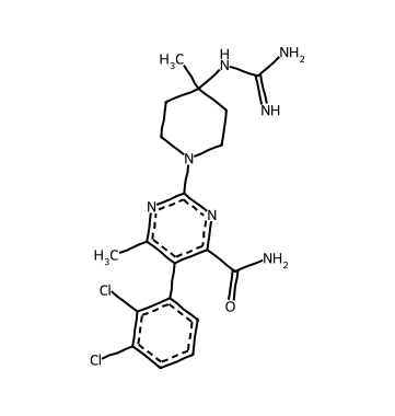 Cc1nc(N2CCC(C)(NC(=N)N)CC2)nc(C(N)=O)c1-c1cccc(Cl)c1Cl